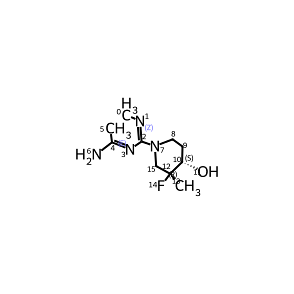 C/N=C(\N=C(/C)N)N1CC[C@H](O)[C@](C)(F)C1